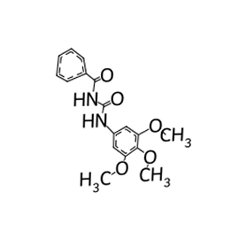 COc1cc(NC(=O)NC(=O)c2ccccc2)cc(OC)c1OC